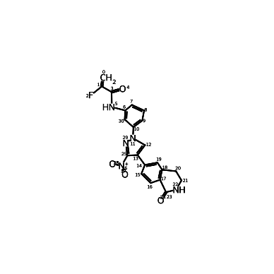 C=C(F)C(=O)Nc1cccc(-n2cc(-c3ccc4c(c3)CCNC4=O)c([N+](=O)[O-])n2)c1